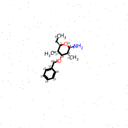 CC[C@H]1O[C@@H](N)[C@H](C)[C@@H](OCc2ccccc2)[C@@H]1C